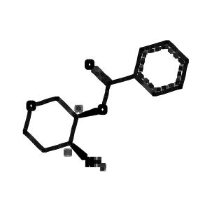 N[C@H]1CCOC[C@H]1OC(=O)c1ccccc1